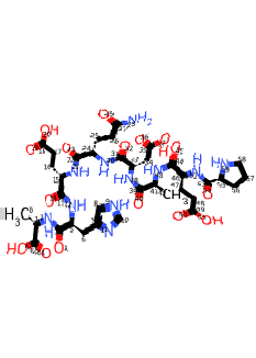 C[C@H](NC(=O)[C@H](Cc1c[nH]cn1)NC(=O)[C@H](CCC(=O)O)NC(=O)[C@H](CCC(N)=O)NC(=O)[C@H](CC(=O)O)NC(=O)[C@H](C)NC(=O)[C@H](CCC(=O)O)NC(=O)[C@@H]1CCCN1)C(=O)O